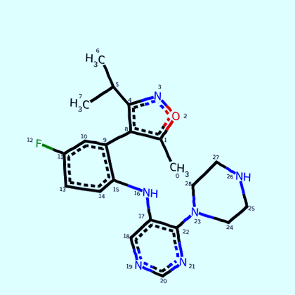 Cc1onc(C(C)C)c1-c1cc(F)ccc1Nc1cncnc1N1CCNCC1